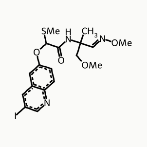 COCC(C)(/C=N/OC)NC(=O)C(Oc1ccc2ncc(I)cc2c1)SC